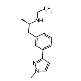 C[C@H](Cc1cccc(-c2ccn(C)n2)c1)NCC(F)(F)F